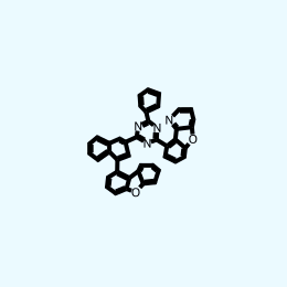 c1ccc(-c2nc(-c3cc(-c4cccc5oc6ccccc6c45)c4ccccc4c3)nc(-c3cccc4oc5cccnc5c34)n2)cc1